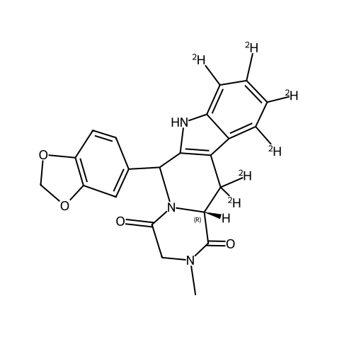 [2H]c1c([2H])c([2H])c2c3c([nH]c2c1[2H])C(c1ccc2c(c1)OCO2)N1C(=O)CN(C)C(=O)[C@H]1C3([2H])[2H]